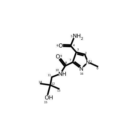 Cn1cc(C(N)=O)c(C(=O)NCC(C)(C)O)n1